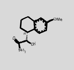 COc1ccc2c(c1)CCC[C@H]2C(O)C(N)=O